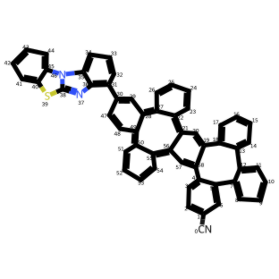 N#Cc1ccc2c(c1)c1ccccc1c1ccccc1c1cc3c4ccccc4c4cc(-c5cccc6c5nc5sc7ccccc7n56)ccc4c4ccccc4c3cc21